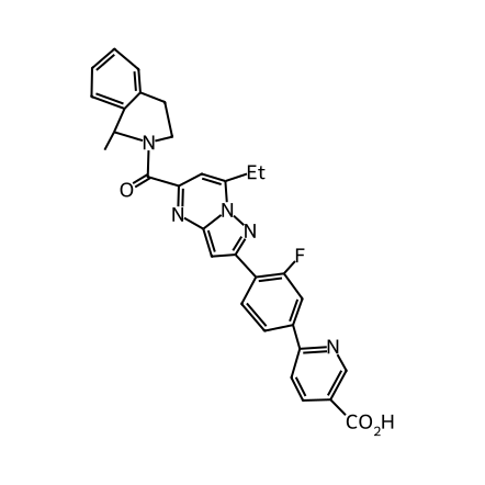 CCc1cc(C(=O)N2CCc3ccccc3C2C)nc2cc(-c3ccc(-c4ccc(C(=O)O)cn4)cc3F)nn12